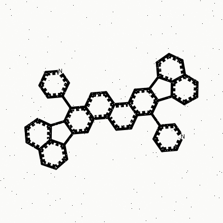 c1cncc(-c2c3c(cc4c2ccc2c5cc6c(c(-c7cccnc7)c5ccc42)-c2cccc4cccc-6c24)-c2cccc4cccc-3c24)c1